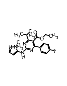 CCOC(=O)c1c(-c2ccc(F)cc2)nc(Nc2ccnn2C)nc1C(C)C